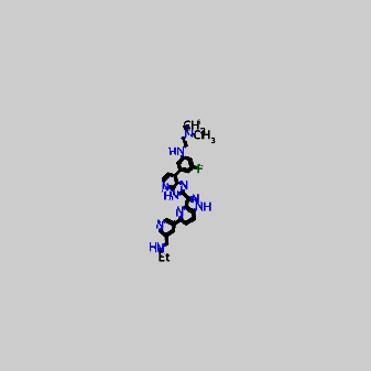 CCNCc1cncc(-c2ccc3[nH]nc(-c4nc5c(-c6cc(F)cc(NCCN(C)C)c6)ccnc5[nH]4)c3n2)c1